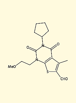 COCCn1c(=O)n(C2CCCC2)c(=O)c2c(C)c(C=O)sc21